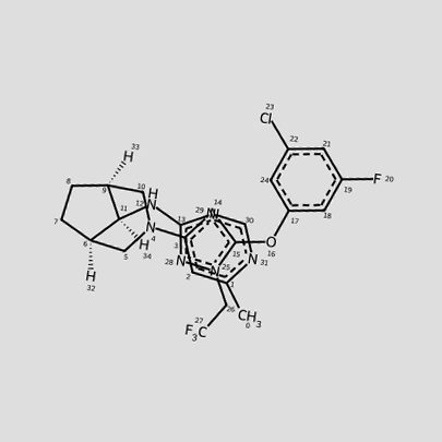 Cc1cc(N2C[C@H]3CC[C@@H](C2)[C@H]3Nc2nc(Oc3cc(F)cc(Cl)c3)n(CC(F)(F)F)n2)ncn1